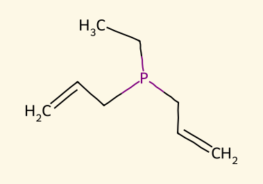 C=CCP(CC)CC=C